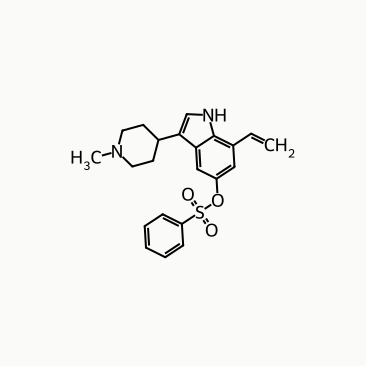 C=Cc1cc(OS(=O)(=O)c2ccccc2)cc2c(C3CCN(C)CC3)c[nH]c12